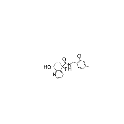 Cc1ccc(CNC(=O)[C@@]2(F)CC[C@@H](O)c3ncccc32)c(Cl)c1